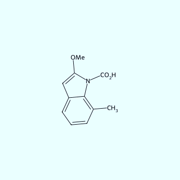 COc1cc2cccc(C)c2n1C(=O)O